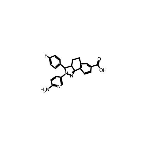 Nc1ccc(N2N=C3c4ccc(C(=O)O)cc4CCC3C2c2ccc(F)cc2)cn1